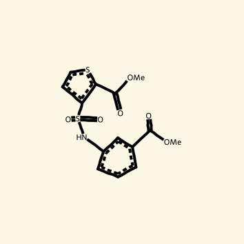 COC(=O)c1cccc(NS(=O)(=O)c2ccsc2C(=O)OC)c1